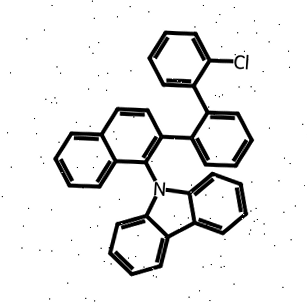 Clc1ccccc1-c1ccccc1-c1ccc2ccccc2c1-n1c2ccccc2c2ccccc21